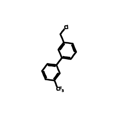 FC(F)(F)c1cccc(-c2cccc(CCl)c2)c1